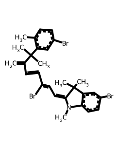 C=C(/C=C/C(Br)=C/C=C1/N(C)c2ccc(Br)cc2C1(C)C)C(C)(C)c1cc(Br)ccc1C